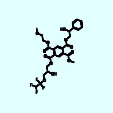 COCCOC(=O)c1cc(C(=O)OCC(O)c2ccccc2)c(C(=O)OC)cc1C(=O)OCC(O)COC(F)(F)C(F)F